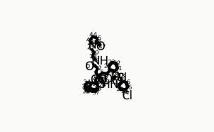 O=C(CCC1(CC(OC(=O)Nc2cc(Cl)ccc2Cl)c2ccccc2)OOC2(O1)C1CC3CC(C1)CC2C3)NCCCN1CCCC1=O